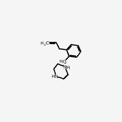 C1CNCCN1.C=CCc1ccccc1O